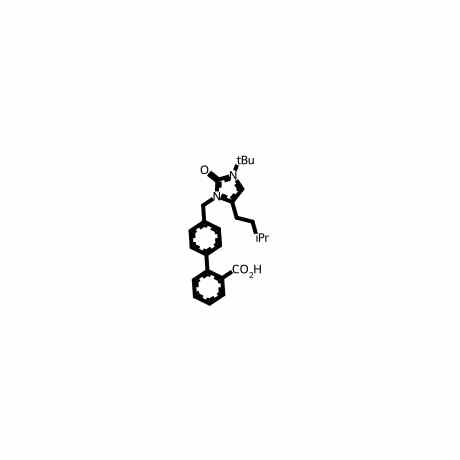 CC(C)CCc1cn(C(C)(C)C)c(=O)n1Cc1ccc(-c2ccccc2C(=O)O)cc1